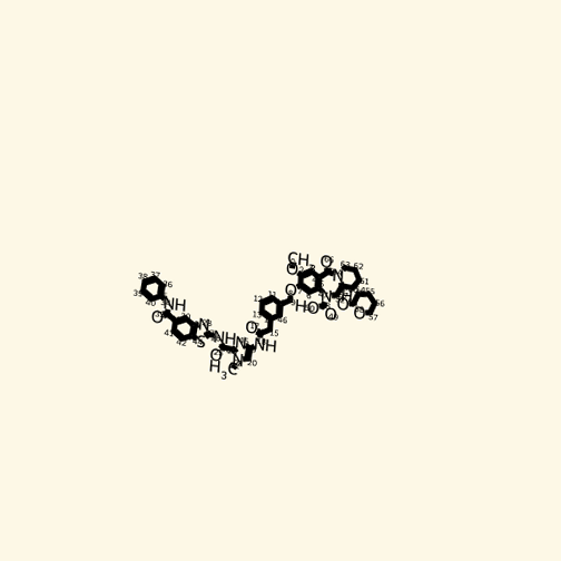 COc1cc2c(cc1OCc1cccc(CC(=O)Nc3cn(C)c(C(=O)Nc4nc5cc(C(=O)Nc6ccccc6)ccc5s4)n3)c1)N(C(=O)O)[C@@H](OC1CCCCO1)[C@@H]1CCCCN1C2=O